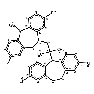 CC(C)(C)C1c2ccc(F)cc2CC(CC(C)(C)C2c3ccc(Cl)cc3CCc3cc(Cl)ccc32)c2cc(F)ccc21